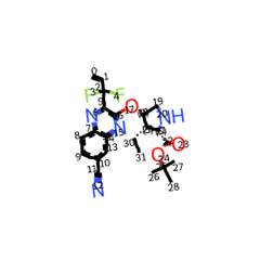 C=CC(F)(F)c1nc2ccc(C#N)cc2nc1O[C@H]1CN[C@H](C(=O)OC(C)(C)C)[C@@H]1CC